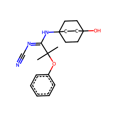 CC(C)(Oc1ccccc1)/C(=N\C#N)NC12CCC(O)(CC1)CC2